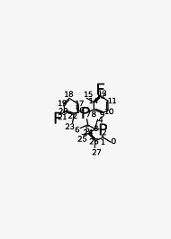 CC1=PC(C)(C(C)P(c2cccc(F)c2C)c2cccc(F)c2C)C(C)=C1C